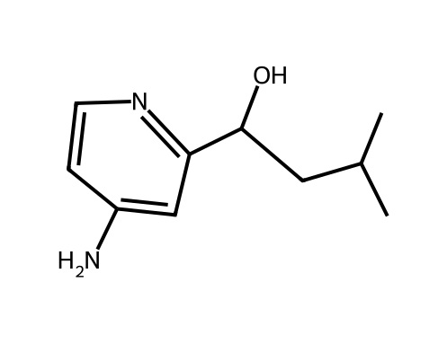 CC(C)CC(O)c1cc(N)ccn1